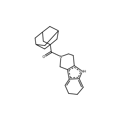 O=C(N1CCc2[nH]c3c(c2C1)=CCCC=3)C12CC3CC(CC(C3)C1)C2